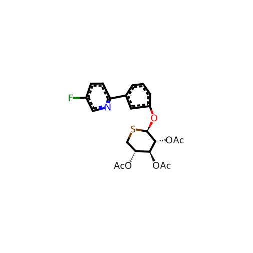 CC(=O)O[C@@H]1[C@@H](OC(C)=O)[C@H](OC(C)=O)CS[C@H]1Oc1cccc(-c2ccc(F)cn2)c1